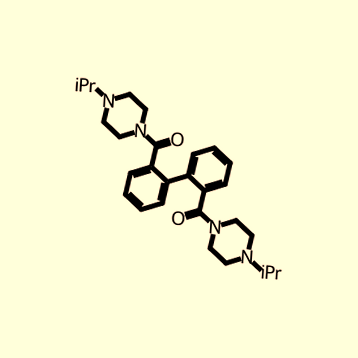 CC(C)N1CCN(C(=O)c2ccccc2-c2ccccc2C(=O)N2CCN(C(C)C)CC2)CC1